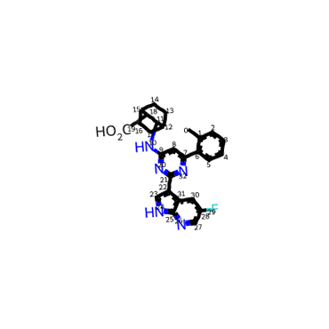 Cc1ccccc1-c1cc(NC2C3CCC(CC3)C2C(=O)O)nc(-c2c[nH]c3ncc(F)cc23)n1